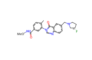 CONC(=O)c1ccc(C)c(-n2cnc3ccc(CN4CC[C@H](F)C4)cc3c2=O)c1